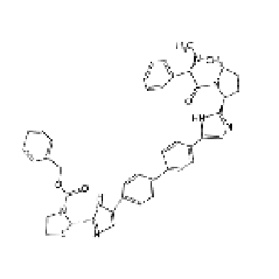 CN(C)[C@@H](C(=O)N1CCC[C@H]1c1ncc(-c2ccc(-c3ccc(-c4cnc([C@@H]5SCCN5C(=O)OCc5ccccc5)[nH]4)cc3)cc2)[nH]1)c1ccccc1